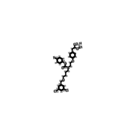 CCOC(Cc1ccc(OCCN(CCCCOCc2cc(Cl)cc(Cl)c2)C(=O)Oc2ccc(F)cc2)cc1)C(=O)O